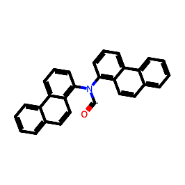 O=[C]N(c1cccc2c1ccc1ccccc12)c1cccc2c1ccc1ccccc12